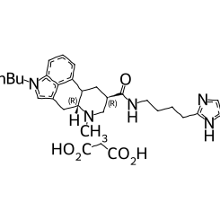 CCCCn1cc2c3c(cccc31)C1C[C@@H](C(=O)NCCCCc3ncc[nH]3)CN(C)[C@@H]1C2.O=C(O)CC(=O)O